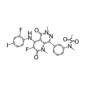 CN(c1cccc(-c2nn(C)c(=O)c3c(Nc4ccc(I)cc4F)c(F)c(=O)n(C)c23)c1)S(C)(=O)=O